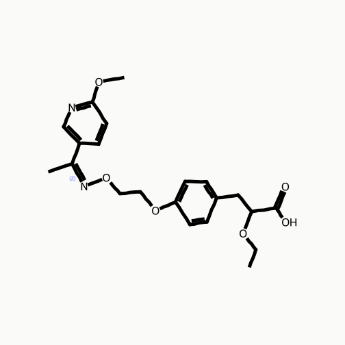 CCOC(Cc1ccc(OCCO/N=C(/C)c2ccc(OC)nc2)cc1)C(=O)O